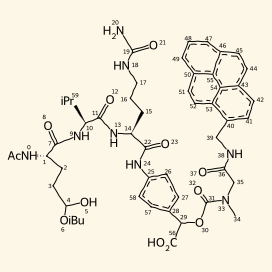 CC(=O)N[C@@H](CCC(O)OCC(C)C)C(=O)N[C@H](C(=O)N[C@@H](CCCNC(N)=O)C(=O)Nc1ccc(C(OC(=O)N(C)CC(=O)NCc2ccc3ccc4cccc5ccc2c3c45)C(=O)O)cc1)C(C)C